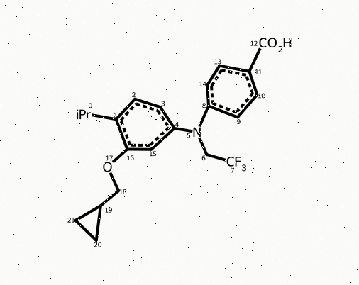 CC(C)c1ccc(N(CC(F)(F)F)c2ccc(C(=O)O)cc2)cc1OCC1CC1